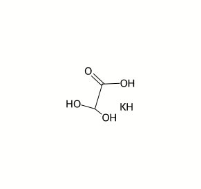 O=C(O)C(O)O.[KH]